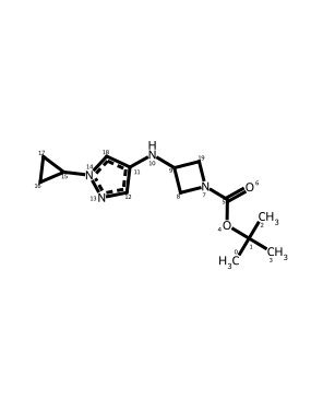 CC(C)(C)OC(=O)N1CC(Nc2cnn(C3CC3)c2)C1